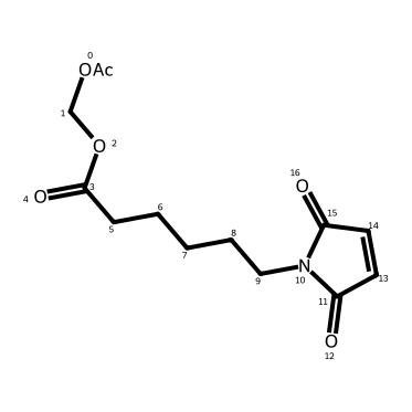 CC(=O)OCOC(=O)CCCCCN1C(=O)C=CC1=O